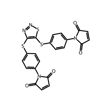 O=C1C=CC(=O)N1c1ccc(Sc2nnsc2Sc2ccc(N3C(=O)C=CC3=O)cc2)cc1